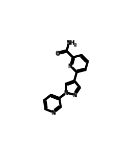 NC(=O)c1cccc(-c2cnn(-c3cccnc3)c2)n1